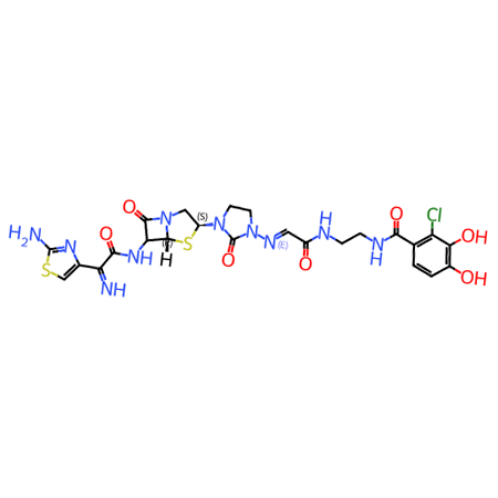 N=C(C(=O)NC1C(=O)N2C[C@@H](N3CCN(/N=C/C(=O)NCCNC(=O)c4ccc(O)c(O)c4Cl)C3=O)S[C@H]12)c1csc(N)n1